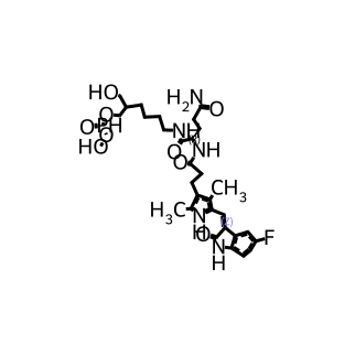 Cc1[nH]c(/C=C2\C(=O)Nc3ccc(F)cc32)c(C)c1CCC(=O)N[C@H](CCC(N)=O)C(=O)NCCCCC(CO)CO[PH](=O)OO